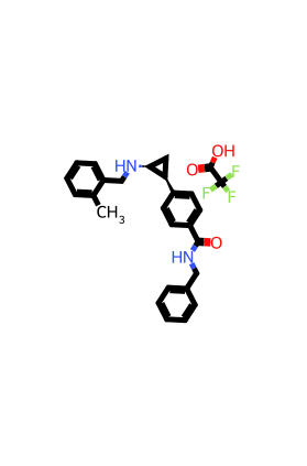 Cc1ccccc1CN[C@@H]1C[C@H]1c1ccc(C(=O)NCc2ccccc2)cc1.O=C(O)C(F)(F)F